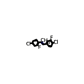 C/C(=C\c1ccc(Cl)c(F)c1)c1ccc(Cl)cc1F